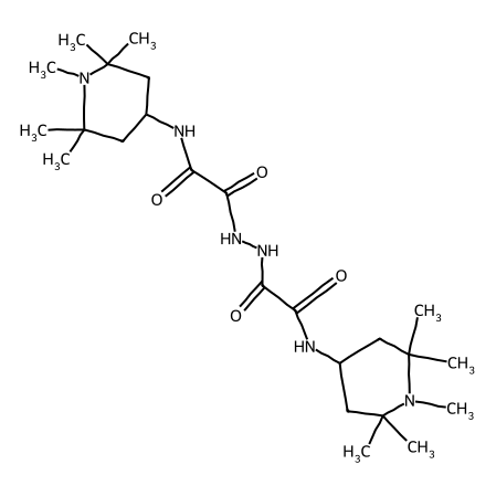 CN1C(C)(C)CC(NC(=O)C(=O)NNC(=O)C(=O)NC2CC(C)(C)N(C)C(C)(C)C2)CC1(C)C